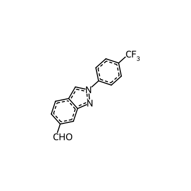 O=Cc1ccc2cn(-c3ccc(C(F)(F)F)cc3)nc2c1